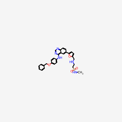 CNS(=O)(=O)CCNCc1ccc(-c2ccc3ncnc(Nc4ccc(OCc5ccccc5)cc4)c3c2)o1